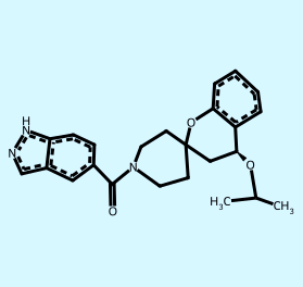 CC(C)O[C@H]1CC2(CCN(C(=O)c3ccc4[nH]ncc4c3)CC2)Oc2ccccc21